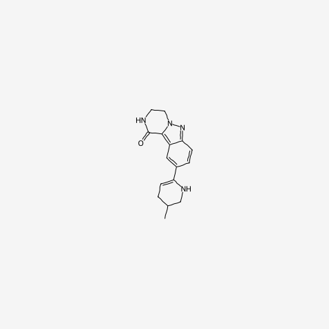 CC1CC=C(c2ccc3nn4c(c3c2)C(=O)NCC4)NC1